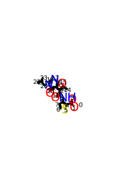 COC(=O)c1sccc1NC(=O)c1c(C)oc2ncn(CC(C)C)c(=O)c12